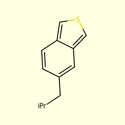 CC(C)Cc1ccc2cscc2c1